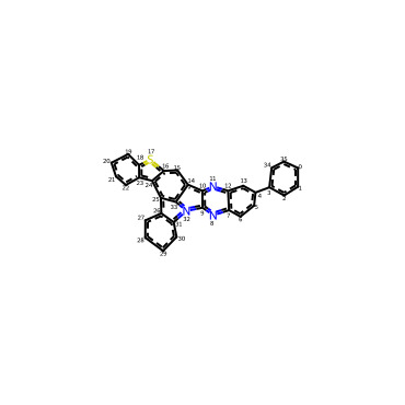 c1ccc(-c2ccc3nc4c(nc3c2)c2cc3sc5ccccc5c3c3c5ccccc5n4c23)cc1